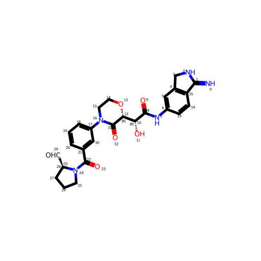 N=C1NCc2cc(NC(=O)[C@H](O)[C@H]3OCCN(c4cccc(C(=O)N5CCC[C@H]5C=O)c4)C3=O)ccc21